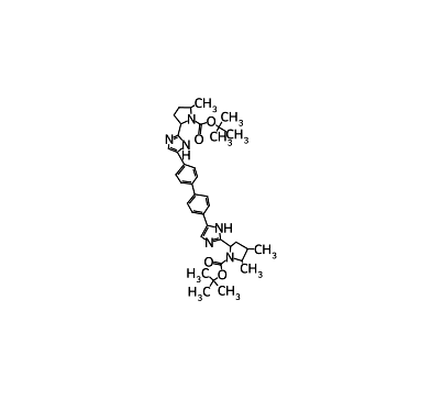 CC1CC(c2ncc(-c3ccc(-c4ccc(-c5cnc(C6CCC(C)N6C(=O)OC(C)(C)C)[nH]5)cc4)cc3)[nH]2)N(C(=O)OC(C)(C)C)[C@H]1C